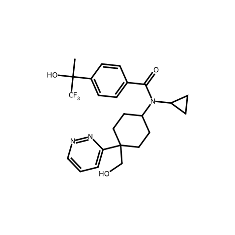 CC(O)(c1ccc(C(=O)N(C2CC2)C2CCC(CO)(c3cccnn3)CC2)cc1)C(F)(F)F